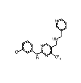 FC(F)(F)c1nc(Nc2cccc(Cl)c2)ncc1CNCc1cccnc1